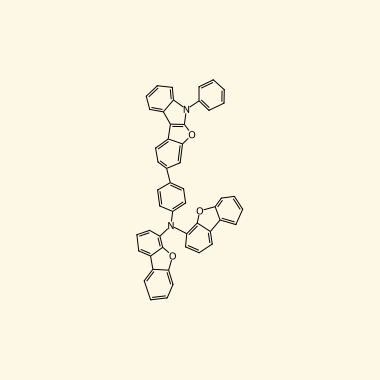 c1ccc(-n2c3ccccc3c3c4ccc(-c5ccc(N(c6cccc7c6oc6ccccc67)c6cccc7c6oc6ccccc67)cc5)cc4oc32)cc1